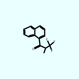 CC(C(=O)c1cccc2ccccc12)C(F)(F)F